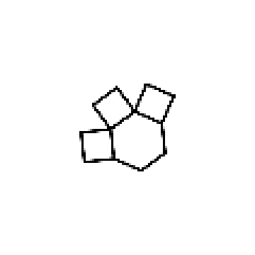 C1CC2CCC23CCC32CC[C]12